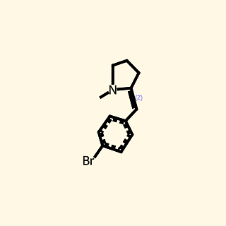 CN1CCC/C1=C/c1ccc(Br)cc1